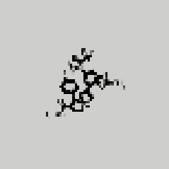 COC(=O)C1CC[C@@]2(CC(c3cc(-n4nnnc4C(F)(F)F)cc4nc(C)oc34)=CO2)[C@@H]1c1ccc(F)cc1